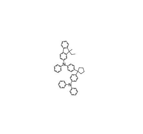 CCC1(C)c2ccccc2-c2ccc(N(c3ccccc3)c3ccc(C4(c5ccc(N(c6ccccc6)c6ccccc6)cc5)CCCC4)cc3)cc21